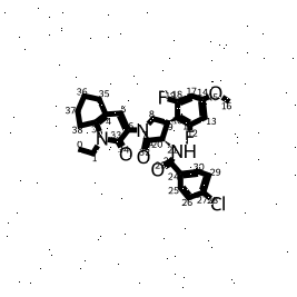 CCn1c2c(cc(N3C[C@@H](c4c(F)cc(OC)cc4F)[C@H](NC(=O)c4ccc(Cl)cc4)C3=O)c1=O)CCCC2